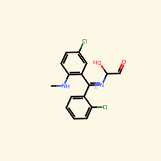 CNc1ccc(Cl)cc1/C(=N\C(O)C=O)c1ccccc1Cl